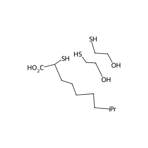 CC(C)CCCCCC(S)C(=O)O.OCCS.OCCS